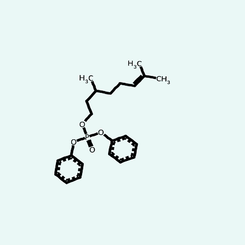 CC(C)=CCCC(C)CCOP(=O)(Oc1ccccc1)Oc1ccccc1